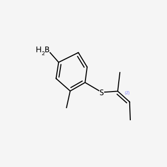 Bc1ccc(S/C(C)=C\C)c(C)c1